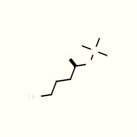 C[Si](C)(C)OC(=O)CCCO